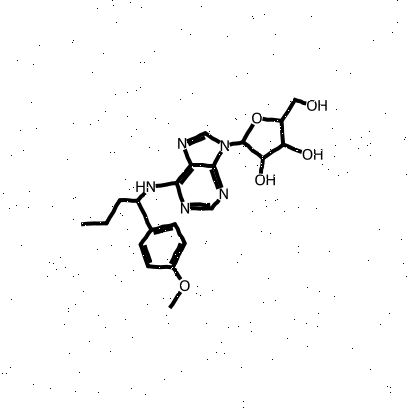 CCCC(Nc1ncnc2c1ncn2C1OC(CO)C(O)C1O)c1ccc(OC)cc1